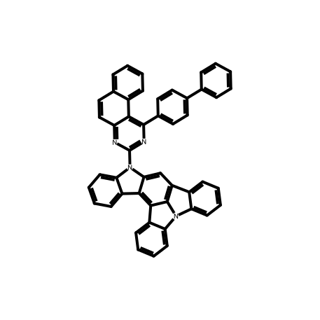 c1ccc(-c2ccc(-c3nc(-n4c5ccccc5c5c6c7ccccc7n7c8ccccc8c(cc54)c67)nc4ccc5ccccc5c34)cc2)cc1